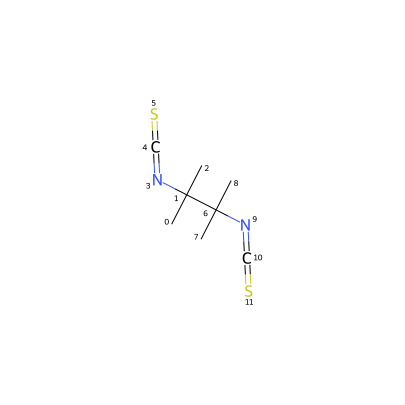 CC(C)(N=C=S)C(C)(C)N=C=S